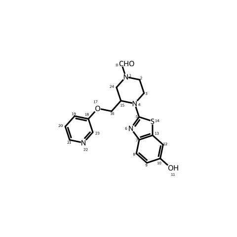 O=CN1CCN(c2nc3ccc(O)cc3s2)C(COc2cccnc2)C1